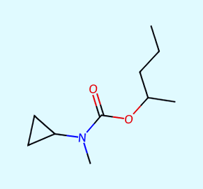 CCCC(C)OC(=O)N(C)C1CC1